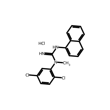 CN(C(=N)Nc1cccc2ccccc12)c1cc(Cl)ccc1Cl.Cl